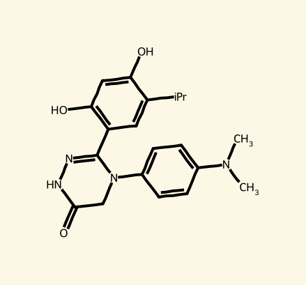 CC(C)c1cc(C2=NNC(=O)CN2c2ccc(N(C)C)cc2)c(O)cc1O